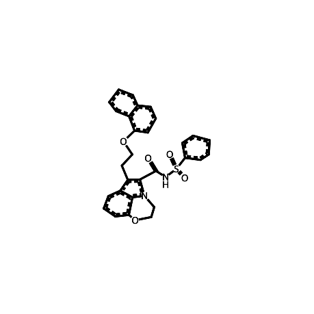 O=C(NS(=O)(=O)c1ccccc1)c1c(CCOc2cccc3ccccc23)c2cccc3c2n1CCO3